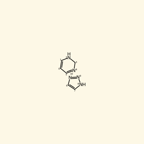 C1=CNCN=C1.c1c[nH]nn1